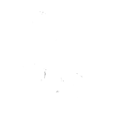 COC(=O)c1ccc2c(c1)C(=O)N([C@@H]1CCCC[C@H]1N1CCN(C)C1=O)C2